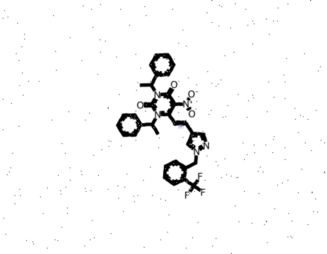 CC(c1ccccc1)n1c(/C=C/c2cnn(Cc3ccccc3C(F)(F)F)c2)c([N+](=O)[O-])c(=O)n(C(C)c2ccccc2)c1=O